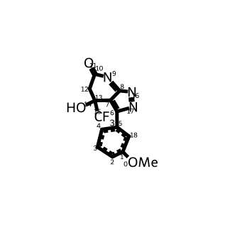 COc1cccc(C2=C3C(=NC(=O)CC3(O)C(F)(F)F)N=N2)c1